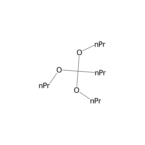 CCCOC(CCC)(OCCC)OCCC